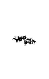 O=C(NCC1CC1)c1cn(-c2cccc(-c3ccc(C4CC4C(=O)O)cc3)c2)c2ncccc2c1=O